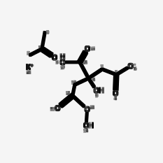 CC(C)=O.O=C([O-])CC(O)(CC(=O)OO)C(=O)O.[K+]